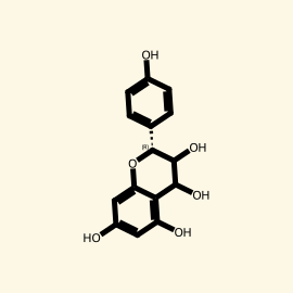 Oc1ccc([C@H]2Oc3cc(O)cc(O)c3C(O)C2O)cc1